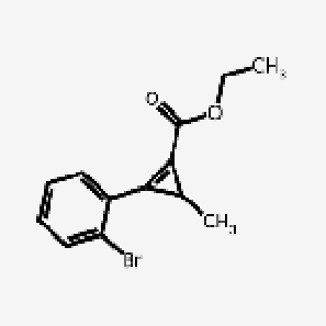 CCOC(=O)C1=C(c2ccccc2Br)C1C